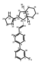 Fc1cccc(-c2ccc(C=C[C@H]3[C@H]4CCCC[C@@H]4C[C@@H]3C3=NCCN3)nc2)c1